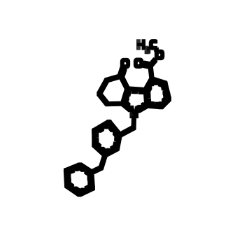 COC(=O)c1cccc2c1c1c(n2Cc2cccc(Cc3ccccc3)c2)CCCC1=O